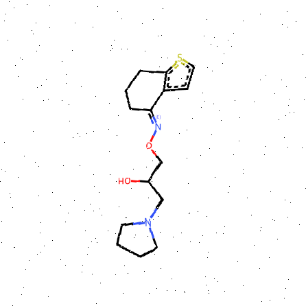 OC(CO/N=C1\CCCc2sccc21)CN1CCCC1